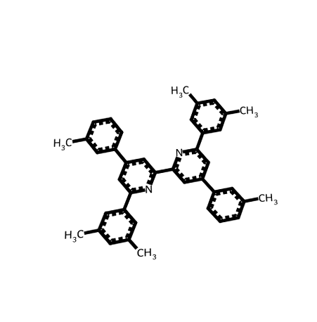 Cc1cccc(-c2cc(-c3cc(C)cc(C)c3)nc(-c3cc(-c4cccc(C)c4)cc(-c4cc(C)cc(C)c4)n3)c2)c1